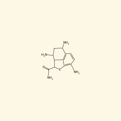 NC(=O)C1Sc2c(N)ccc3c2C1C(N)CC3N